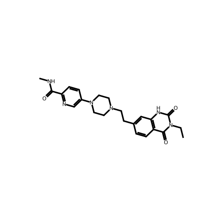 CCn1c(=O)[nH]c2cc(CCN3CCN(c4ccc(C(=O)NC)nc4)CC3)ccc2c1=O